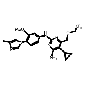 COc1cc(Nc2nc(N)c(C3CC3)c(COCC(F)(F)F)n2)ccc1-n1cnc(C)c1